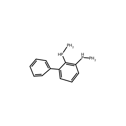 PPc1cccc(-c2ccccc2)c1PP